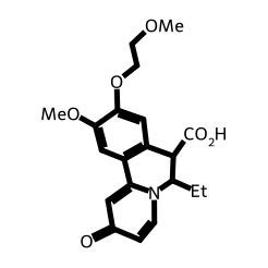 CCC1C(C(=O)O)c2cc(OCCOC)c(OC)cc2-c2cc(=O)ccn21